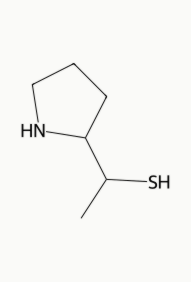 CC(S)C1CCCN1